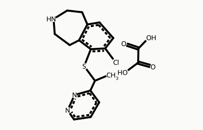 CC(Sc1c(Cl)ccc2c1CCNCC2)c1cccnn1.O=C(O)C(=O)O